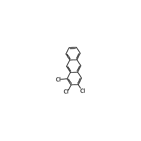 Clc1cc2cc3ccccc3cc2c(Cl)c1Cl